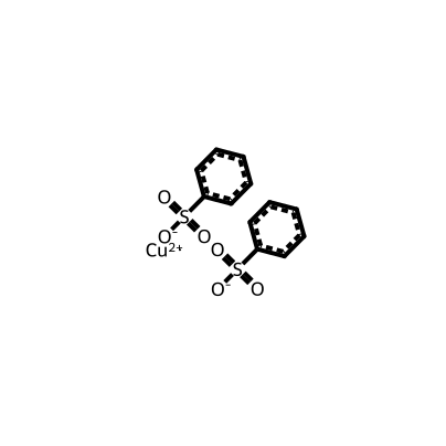 O=S(=O)([O-])c1ccccc1.O=S(=O)([O-])c1ccccc1.[Cu+2]